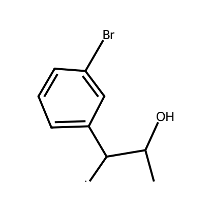 [CH2]C(c1cccc(Br)c1)C(C)O